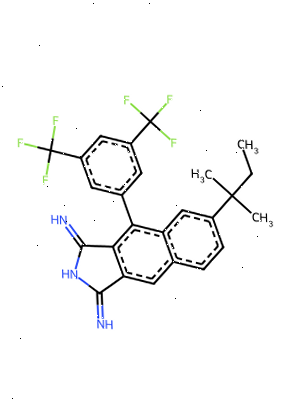 CCC(C)(C)c1ccc2cc3c(c(-c4cc(C(F)(F)F)cc(C(F)(F)F)c4)c2c1)C(=N)NC3=N